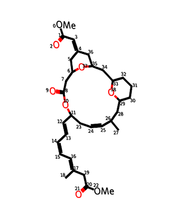 COC(=O)/C=C1\CC2CC(=O)OC(/C=C/C=C\C=C(/C)CC(=O)OC)C/C=C\C(C)CC3CCCC(CC(C1)O2)O3